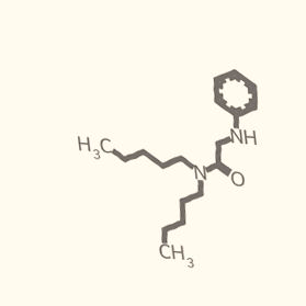 CCCCCN(CCCCC)C(=O)CNc1ccccc1